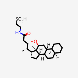 C[C@H](CCC(=O)NCCS(=O)(=O)O)[C@H]1CC[C@H]2[C@@H]3CC[C@@H]4CCCC[C@]4(C)[C@H]3C[C@H](O)[C@]12C